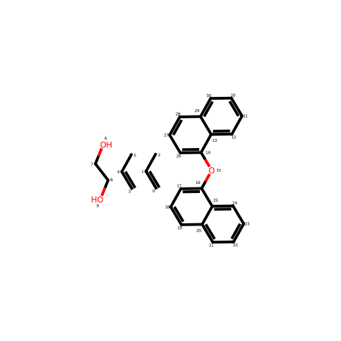 C=CC.C=CC.OCCO.c1ccc2c(Oc3cccc4ccccc34)cccc2c1